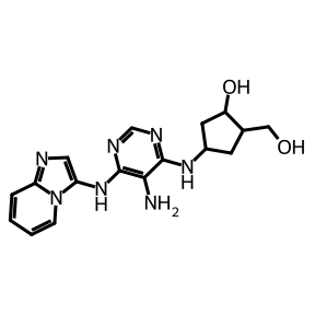 Nc1c(Nc2cnc3ccccn23)ncnc1NC1CC(O)C(CO)C1